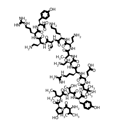 CC[C@H](C)[C@H](NC(=O)[C@@H]1C[C@@H](O)CN1C(=O)[C@@H](N)C(C)C)C(=O)N[C@H](C(=O)N[C@@H](Cc1ccc(O)cc1)C(=O)N[C@H](C(=O)N[C@@H](CCC(=O)O)C(=O)N[C@@H](CCCNC(=N)N)C(=O)N[C@@H](CCN)C(=O)N[C@H](C(=O)N[C@H](CCN)C(=O)N[C@@H](CCCCN)C(=O)N[C@@H](CS)C(=O)N[C@@H](CCN)C(=O)N[C@@H](CCCNC(=N)N)C(=O)N[C@@H](Cc1ccc(O)cc1)C(=O)O)[C@@H](C)O)C(C)(C)S)[C@@H](C)O